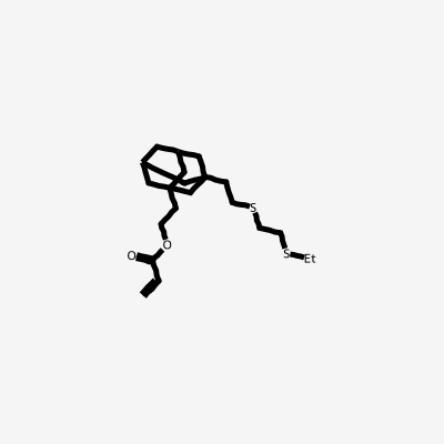 C=CC(=O)OCCC12CC3CC(C1)CC(CCSCCSCC)(C3)C2